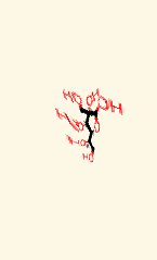 OC[C@@H](O)[C@H]1OC(O)[C@](O)(CO)[C@H]1O